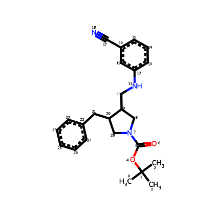 CC(C)(C)OC(=O)N1CC(CNc2cccc(C#N)c2)C(Cc2ccccc2)C1